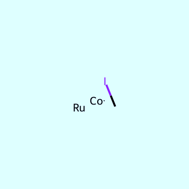 CI.[Co].[Ru]